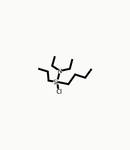 CCCC[Si](Cl)(CCC)N(CC)CC